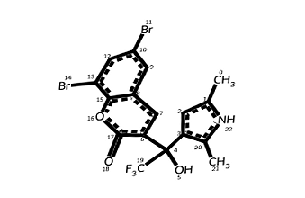 Cc1cc(C(O)(c2cc3cc(Br)cc(Br)c3oc2=O)C(F)(F)F)c(C)[nH]1